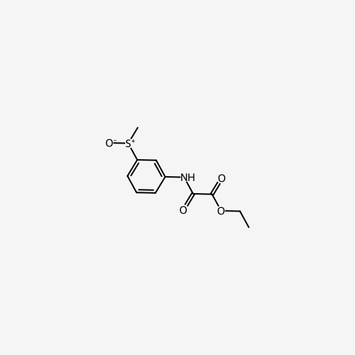 CCOC(=O)C(=O)Nc1cccc([S+](C)[O-])c1